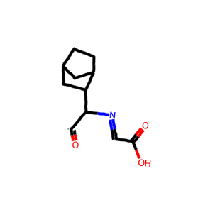 O=[C]C(N=CC(=O)O)C1CC2CCC1C2